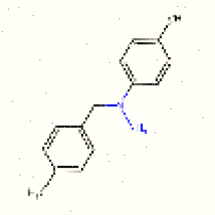 Cc1ccc(CN(N)c2ccc(C)cc2)cc1